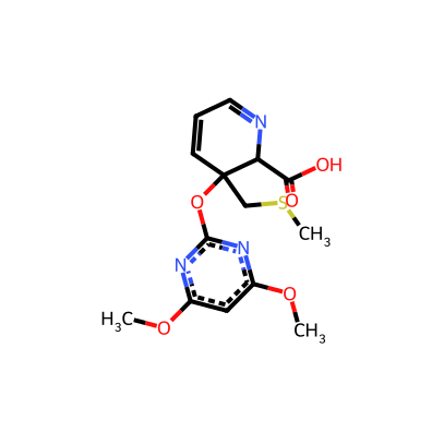 COc1cc(OC)nc(OC2(CSC)C=CC=NC2C(=O)O)n1